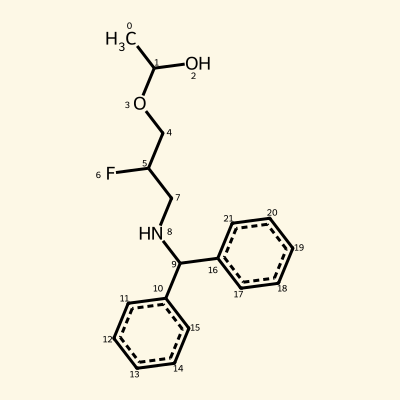 CC(O)OCC(F)CNC(c1ccccc1)c1ccccc1